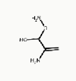 C=C(N)C(O)ON